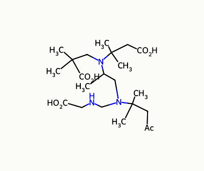 CC(=O)CC(C)(C)N(CNCC(=O)O)CC(C)N(CC(C)(C)C(=O)O)C(C)(C)CC(=O)O